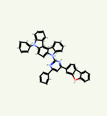 c1ccc(-c2cc(-c3ccc4c(c3)oc3ccccc34)nc(-n3c4ccccc4c4c5c6ccccc6n(-c6ccccc6)c5ccc43)n2)cc1